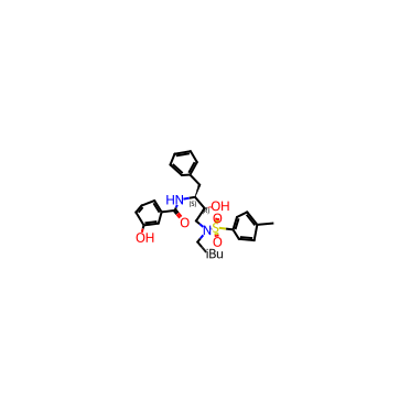 CCC(C)CN(C[C@@H](O)[C@H](Cc1ccccc1)NC(=O)c1cccc(O)c1)S(=O)(=O)c1ccc(C)cc1